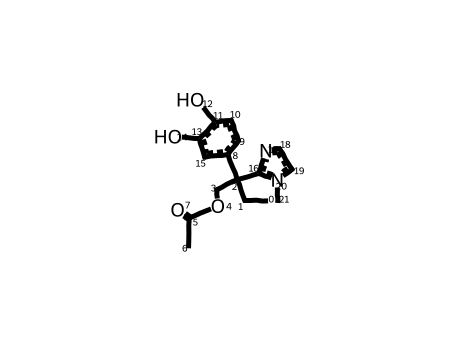 CCC(COC(C)=O)(c1ccc(O)c(O)c1)c1nccn1C